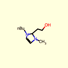 CCCCN1C=CN(C)C1CCO